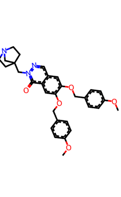 COc1ccc(COc2cc3cnn(CC45CCN(CC4)C5)c(=O)c3cc2OCc2ccc(OC)cc2)cc1